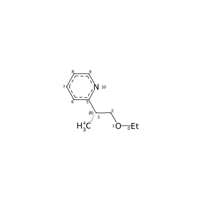 CCOC[C@H](C)c1ccccn1